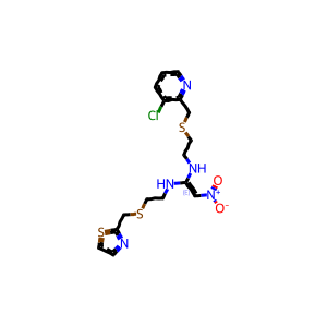 O=[N+]([O-])/C=C(/NCCSCc1nccs1)NCCSCc1ncccc1Cl